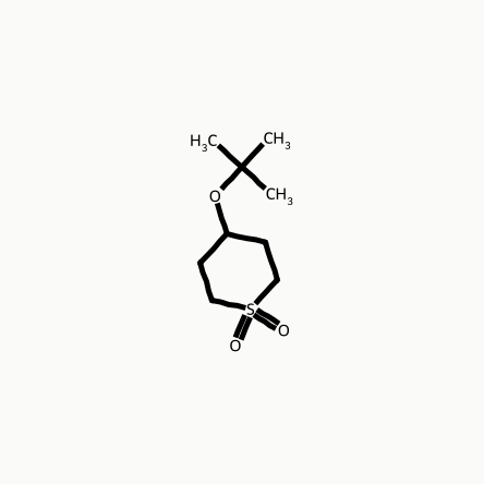 CC(C)(C)OC1CCS(=O)(=O)CC1